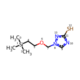 C[Si](C)(C)CCOCn1cnc(S)n1